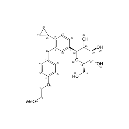 COCCOc1ccc(Cc2cc([C@@H]3O[C@H](CO)[C@@H](O)[C@H](O)[C@H]3O)ccc2C2CC2)cc1